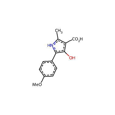 COc1ccc(-c2[nH]c(C)c(C(=O)O)c2O)cc1